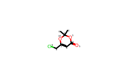 CC1(C)OC(=O)C=C(CCl)O1